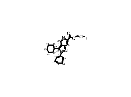 CCOC(=O)c1cc2nn(-c3ccccc3)c(C3CCCCC3)c2cn1